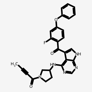 CC#CC(=O)N1CCC(Nc2ncnc3[nH]cc(C(=O)c4ccc(Oc5ccccc5)cc4F)c23)C1